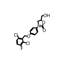 O=C1OC(CO)CN1c1ccc(OCc2c(Cl)ccc(F)c2Cl)cc1